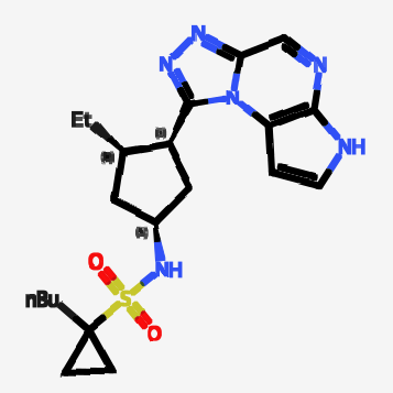 CCCCC1(S(=O)(=O)N[C@H]2C[C@@H](CC)[C@@H](c3nnc4cnc5[nH]ccc5n34)C2)CC1